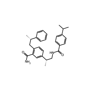 CC(C)c1ccc(C(=O)NC[C@H](C)c2ccc(C[C@H](C)c3ccccc3)c(C(N)=O)c2)cc1